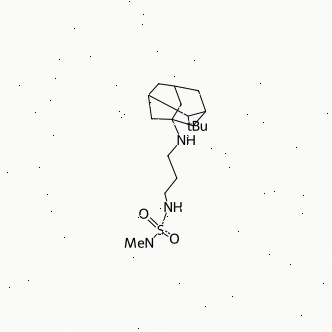 CNS(=O)(=O)NCCCNC12CC3CC(C1)C(C(C)(C)C)C(C3)C2